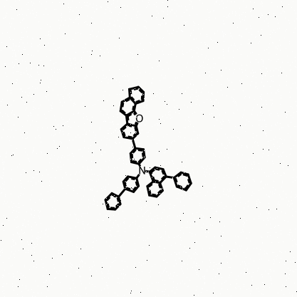 c1ccc(-c2ccc(N(c3ccc(-c4ccc5c(c4)oc4c6ccccc6ccc54)cc3)c3ccc(-c4ccccc4)c4ccccc34)cc2)cc1